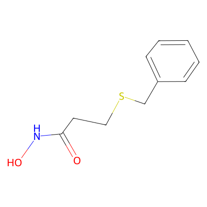 O=C(CCSCc1ccccc1)NO